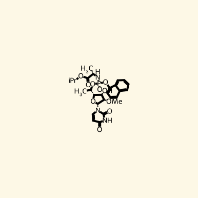 CO[C@@H]1[C@H](O)[C@@H](C(C)OP(=O)(N[C@@H](C)C(=O)OC(C)C)Oc2cccc3ccccc23)O[C@H]1n1ccc(=O)[nH]c1=O